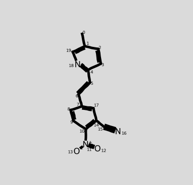 Cc1ccc(/C=C/c2ccc([N+](=O)[O-])c(C#N)c2)nc1